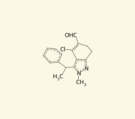 CC(c1ccccc1)c1c2c(nn1C)CCC(C=O)=C2Cl